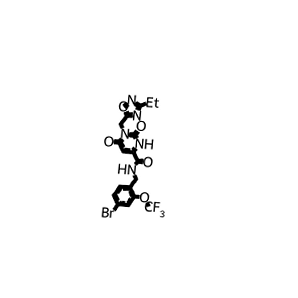 CCc1noc(Cn2c(=O)cc(C(=O)NCc3ccc(Br)cc3OC(F)(F)F)[nH]c2=O)n1